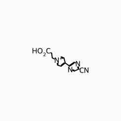 N#Cc1cnc(-c2cc[n+](CCC(=O)O)cc2)cn1